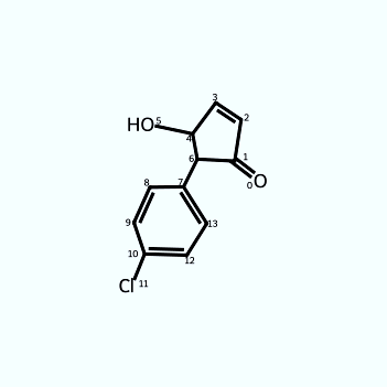 O=C1C=CC(O)C1c1ccc(Cl)cc1